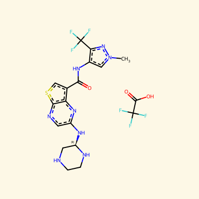 Cn1cc(NC(=O)c2csc3ncc(N[C@@H]4CNCCN4)nc23)c(C(F)(F)F)n1.O=C(O)C(F)(F)F